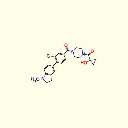 CN1CCc2cc(-c3ccc(C(=O)N4CCN(C(=O)C5(O)CC5)CC4)cc3Cl)ccc21